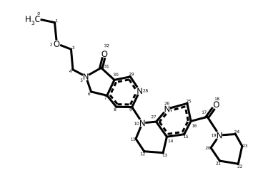 CCOCCN1Cc2cc(N3CCCc4cc(C(=O)N5CCCCC5)cnc43)ncc2C1=O